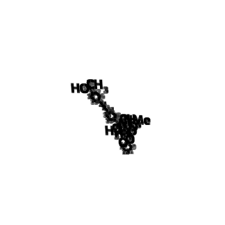 CNC(=O)[C@@](C)(C(=O)NOC1CCCCO1)N(C)C(=O)c1ccc(C#Cc2ccc(C(C)O)cc2)cc1